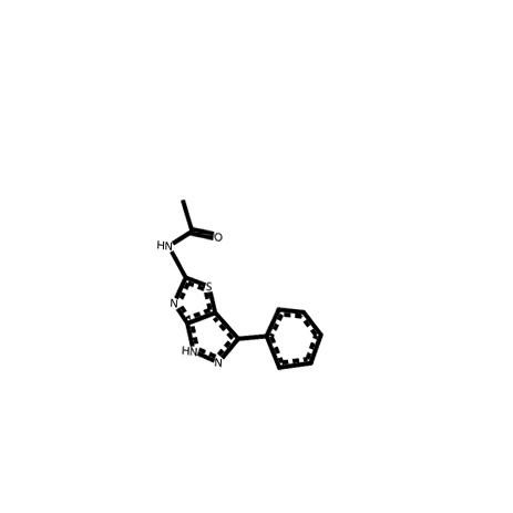 CC(=O)Nc1nc2[nH]nc(-c3ccccc3)c2s1